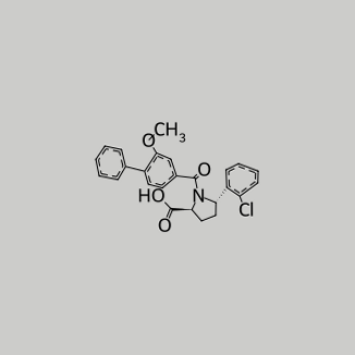 COc1cc(C(=O)N2[C@H](C(=O)O)CC[C@H]2c2ccccc2Cl)ccc1-c1ccccc1